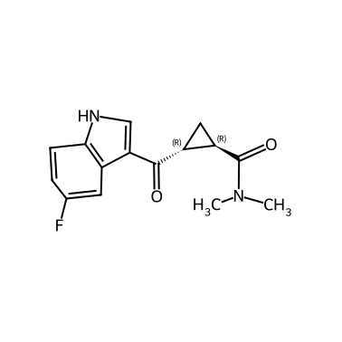 CN(C)C(=O)[C@@H]1C[C@H]1C(=O)c1c[nH]c2ccc(F)cc12